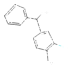 CSc1ccc(C(C=O)c2ccccc2)cc1F